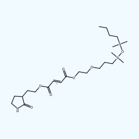 CCCC[Si](C)(C)O[Si](C)(C)CCCOCCOC(=O)/C=C/C(=O)OCCC1CCNC1=O